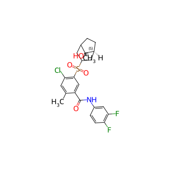 Cc1cc(Cl)c(S(=O)(=O)C2CC3CC[C@@H](C2)[C@]3(C)O)cc1C(=O)Nc1ccc(F)c(F)c1